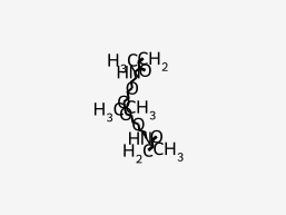 C=C(C)C(=O)NCCOCCOC(C)(C)OCCOCCNC(=O)C(=C)C